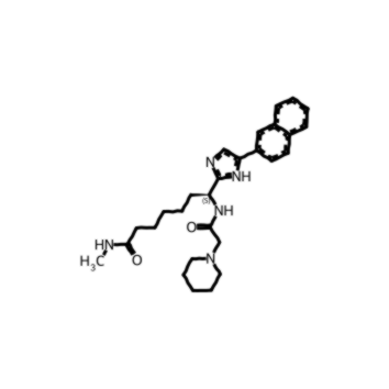 CNC(=O)CCCCC[C@H](NC(=O)CN1CCCCC1)c1ncc(-c2ccc3ccccc3c2)[nH]1